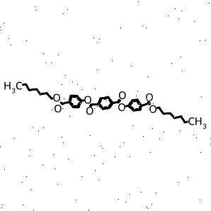 CCCCCCCOC(=O)c1ccc(OC(=O)c2ccc(C(=O)Oc3ccc(C(=O)OCCCCCCC)cc3)cc2)cc1